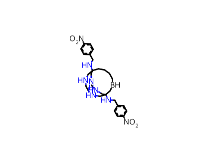 O=[N+]([O-])c1ccc(CNC23CBCCCCC(NCc4ccc([N+](=O)[O-])cc4)(CNCCNC2)CNCCNC3)cc1